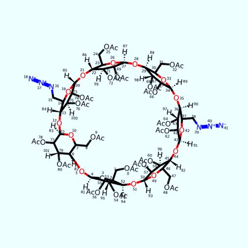 CC(=O)OCC1C[C@@H]2O[C@@H]3C(COC(C)=O)O[C@H](O[C@@H]4C(CN=[N+]=[N-])O[C@H](O[C@@H]5C(COC(C)=O)O[C@@H](O[C@H]6C(COC(C)=O)O[C@@H](O[C@H]7C(CN=[N+]=[N-])O[C@@H](O[C@@H]8C(COC(C)=O)O[C@H](O[C@H]1[C@H](OC(C)=O)C2OC(C)=O)C(OC(C)=O)[C@H]8OC(C)=O)C(OC(C)=O)[C@@H]7OC(C)=O)C(OC(C)=O)[C@@H]6OC(C)=O)C(OC(C)=O)[C@H]5OC(C)=O)C(OC(C)=O)[C@H]4OC(C)=O)C(OC(C)=O)[C@H]3OC(C)=O